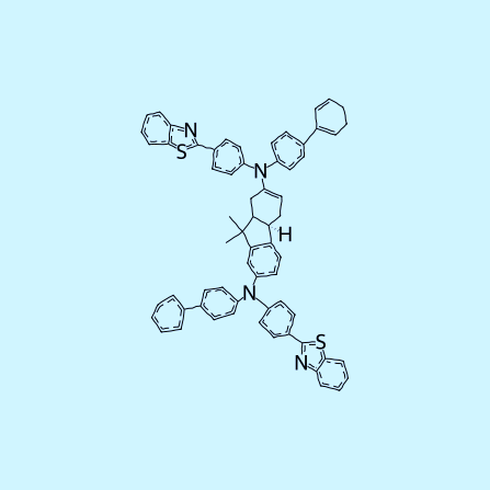 CC1(C)c2cc(N(c3ccc(-c4ccccc4)cc3)c3ccc(-c4nc5ccccc5s4)cc3)ccc2[C@@H]2CC=C(N(c3ccc(C4=CCCC=C4)cc3)c3ccc(-c4nc5ccccc5s4)cc3)CC21